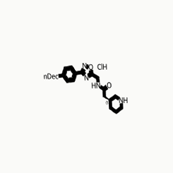 CCCCCCCCCCc1ccc(-c2noc(CNC(=O)C[C@@H]3CCCNC3)n2)cc1.Cl